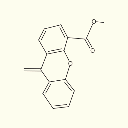 C=C1c2ccccc2Oc2c1cccc2C(=O)OC